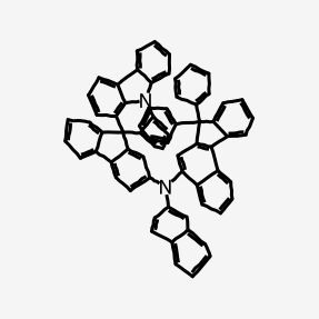 c1ccc(C2(c3ccccc3)c3ccccc3-c3c2cc(N(c2ccc4c(c2)C2(c5ccccc5-4)c4ccccc4-n4c5ccccc5c5cccc2c54)c2ccc4ccccc4c2)c2ccccc32)cc1